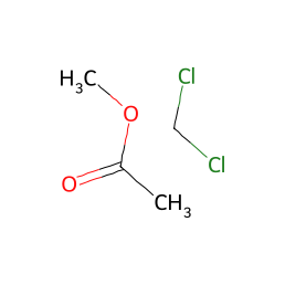 COC(C)=O.ClCCl